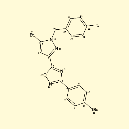 CCc1cc(-c2nc(-c3ccc(C(C)(C)C)cc3)no2)nn1Cc1ccc(C)cc1